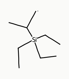 [CH2]C(C)[Si](CC)(CC)CC